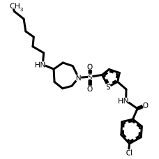 CCCCCCCNC1CCCN(S(=O)(=O)c2ccc(CNC(=O)c3ccc(Cl)cc3)s2)CC1